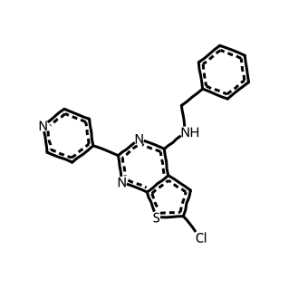 Clc1cc2c(NCc3ccccc3)nc(-c3ccncc3)nc2s1